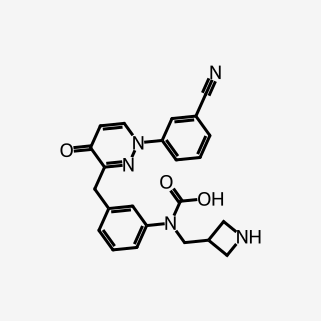 N#Cc1cccc(-n2ccc(=O)c(Cc3cccc(N(CC4CNC4)C(=O)O)c3)n2)c1